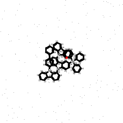 c1ccc(-c2ccc(-n3c4ccccc4c4cccc(-n5c6ccc([Si](c7ccccc7)(c7ccccc7)c7ccccc7)cc6c6c(-n7c8ccccc8c8ccccc87)cccc65)c43)cc2)cc1